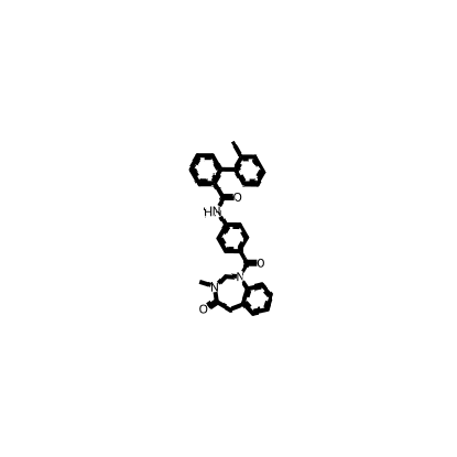 Cc1ccccc1-c1ccccc1C(=O)Nc1ccc(C(=O)N2CN(C)C(=O)Cc3ccccc32)cc1